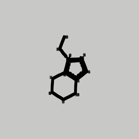 CCn1ncc2c1CCCC2